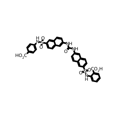 O=C(Nc1ccc2cc(S(=O)(=O)Nc3ccc(C(=O)O)cc3)ccc2c1)Nc1ccc2cc(S(=O)(=O)Nc3ccccc3C(=O)O)ccc2c1